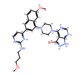 COCCCNc1nccc(-c2cc(N3CCN(c4ncnc5[nH]nc(Br)c45)CC3)c3cc(OC)ccc3c2)n1